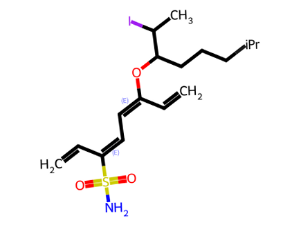 C=C/C(=C\C=C(/C=C)S(N)(=O)=O)OC(CCCC(C)C)C(C)I